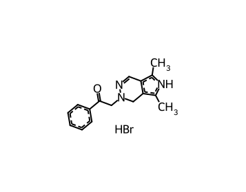 Br.Cc1[nH]c(C)c2c1C=NN(CC(=O)c1ccccc1)C2